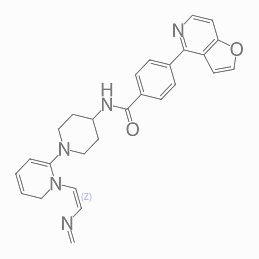 C=N/C=C\N1CC=CC=C1N1CCC(NC(=O)c2ccc(-c3nccc4occc34)cc2)CC1